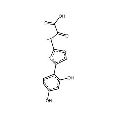 O=C(O)C(=O)Nc1nc(-c2ccc(O)cc2O)cs1